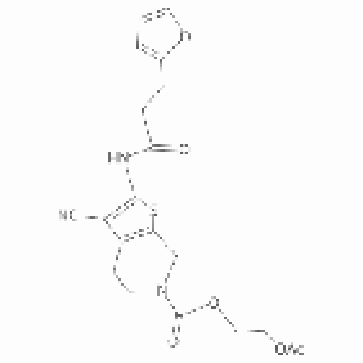 CC(=O)OCCOC(=O)N1CCc2c(sc(NC(=O)CCc3ccco3)c2C#N)C1